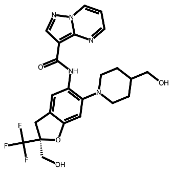 O=C(Nc1cc2c(cc1N1CCC(CO)CC1)O[C@@](CO)(C(F)(F)F)C2)c1cnn2cccnc12